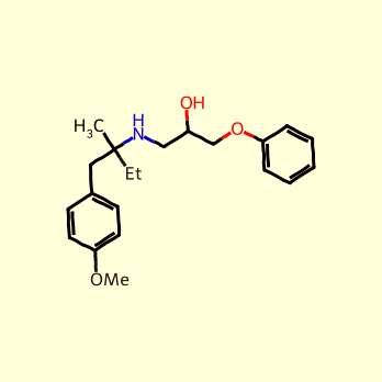 CCC(C)(Cc1ccc(OC)cc1)NCC(O)COc1ccccc1